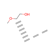 C=C.C=C.C=C.C=C.C=C.C=C.C=C.C=C.COCCO